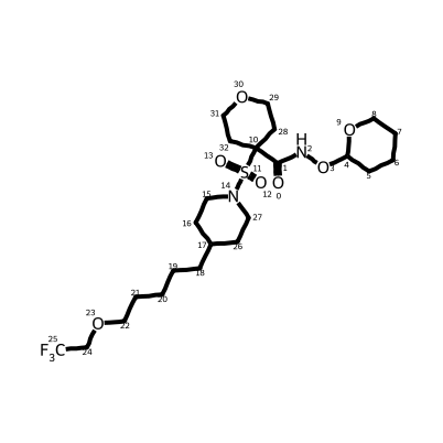 O=C(NOC1CCCCO1)C1(S(=O)(=O)N2CCC(CCCCCOCC(F)(F)F)CC2)CCOCC1